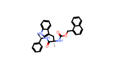 C[C@@H](NC(=O)[C@@](C)(Cc1c[nH]c2ccccc12)NC(=O)OCc1cccc2ccccc12)c1ccccc1